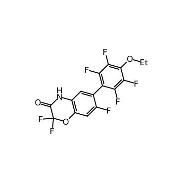 CCOc1c(F)c(F)c(-c2cc3c(cc2F)OC(F)(F)C(=O)N3)c(F)c1F